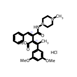 COC(=O)C(=C(/C)c1cc(OC)cc(OC)c1)/C(=C\c1ccccc1)C(=O)NN1CCN(C)CC1.Cl